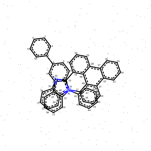 c1ccc(-c2ccc3c(c2)c2ccccc2n3-c2cccc3c4ccccc4c4cccc(-c5nc6ccccc6n5-c5ccccc5)c4c23)cc1